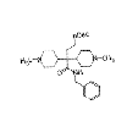 CCCCCCCCCCCCC(C(=O)NCc1ccccc1)(C1CCN(C)CC1)C1CCN(C)CC1